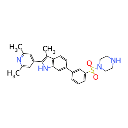 Cc1cc(-c2[nH]c3cc(-c4cccc(S(=O)(=O)N5CCNCC5)c4)ccc3c2C)cc(C)n1